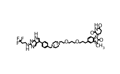 Cn1c(=O)n([C@H]2CCC(=O)NC2=O)c2ccc(CCCOCCCOCCN3CCN(Cc4ccc(-c5c[nH]c6nc(NCCC(F)(F)F)ncc56)cc4)CC3)cc21